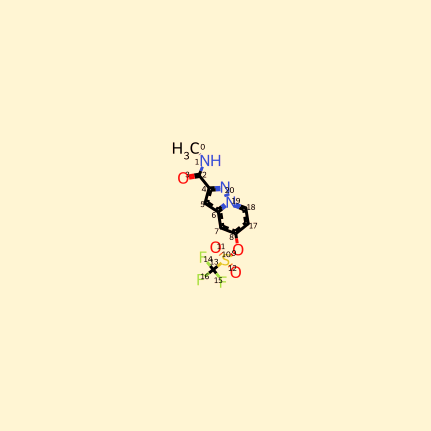 CNC(=O)c1cc2cc(OS(=O)(=O)C(F)(F)F)ccn2n1